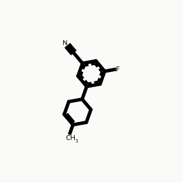 CC1=CCC(c2cc(F)cc(C#N)c2)CC1